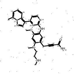 CNCCN(C)c1cc(OC)c(Nc2nccc(-c3cnn4c(C)cccc34)n2)cc1CC#CC(N)=O